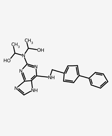 CC(O)N(c1nc(NCc2ccc(-c3ccccc3)cc2)c2[nH]cnc2n1)C(C)O